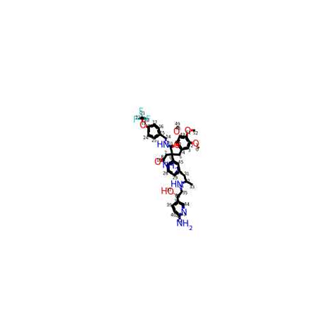 COc1cc(CC(CC(N)=O)(C(=O)NCc2ccc(OC(F)(F)F)cc2)c2cccc(CC(C)NC[C@@H](O)c3ccc(N)nc3)c2)cc(OC)c1OC